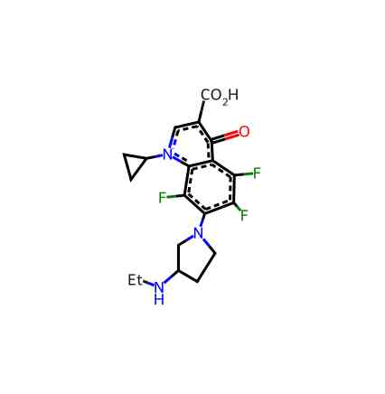 CCNC1CCN(c2c(F)c(F)c3c(=O)c(C(=O)O)cn(C4CC4)c3c2F)C1